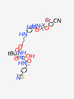 Cc1ncsc1-c1ccc([C@H](C)NC(=O)[C@H]2CN(C(=O)[C@@H](NC(=O)COCCCCCNc3ccc(NC(=O)NC4C(C)(C)C(Oc5ccc(C#N)c(Br)c5)C4(C)C)cc3)C(C)(C)C)C[C@H]2O)cc1